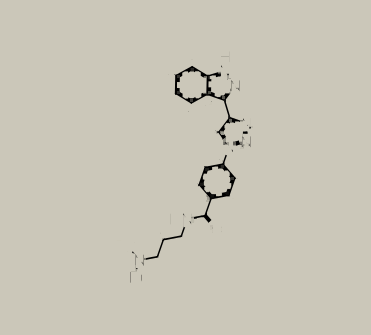 CCN(CC)CCCNC(=O)c1ccc(-n2cc(-c3n[nH]c4ccccc34)nn2)cc1